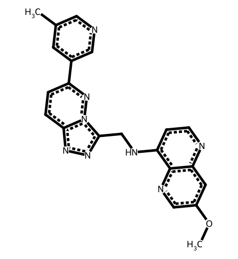 COc1cnc2c(NCc3nnc4ccc(-c5cncc(C)c5)nn34)ccnc2c1